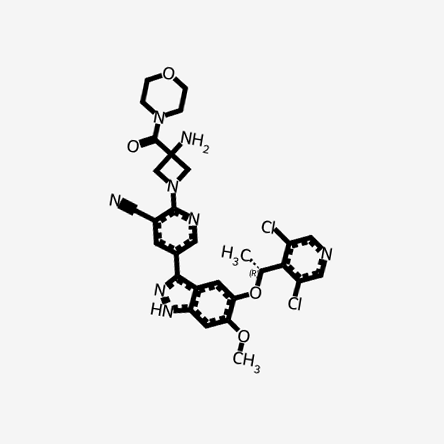 COc1cc2[nH]nc(-c3cnc(N4CC(N)(C(=O)N5CCOCC5)C4)c(C#N)c3)c2cc1O[C@H](C)c1c(Cl)cncc1Cl